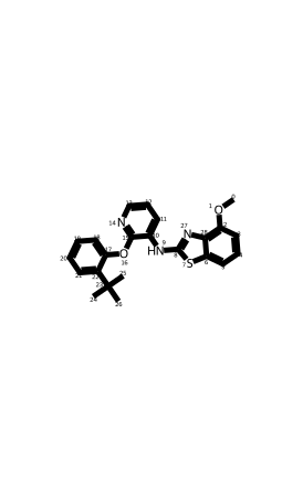 COc1cccc2sc(Nc3cccnc3Oc3ccccc3C(C)(C)C)nc12